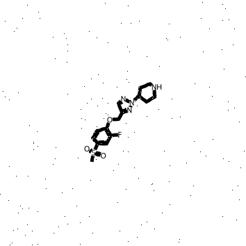 CS(=O)(=O)c1ccc(OCc2cnn(C3CCNCC3)n2)c(F)c1